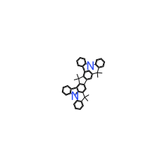 CC1(C)c2c(cc3c4c2c2ccccc2n4-c2ccccc2C3(C)C)-c2cc3c4c(c21)c1ccccc1n4-c1ccccc1C3(C)C